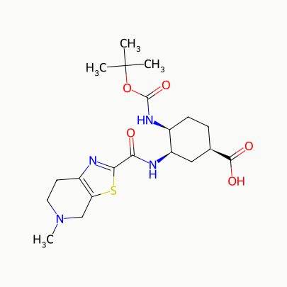 CN1CCc2nc(C(=O)N[C@@H]3C[C@H](C(=O)O)CC[C@@H]3NC(=O)OC(C)(C)C)sc2C1